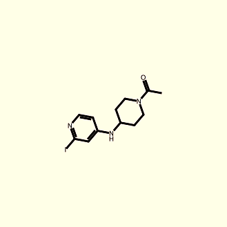 CC(=O)N1CCC(Nc2ccnc(I)c2)CC1